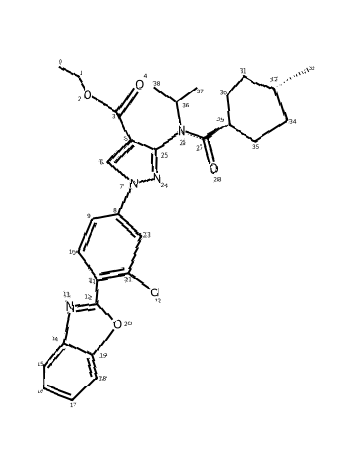 CCOC(=O)c1cn(-c2ccc(-c3nc4ccccc4o3)c(Cl)c2)nc1N(C(=O)[C@H]1CC[C@H](C)CC1)C(C)C